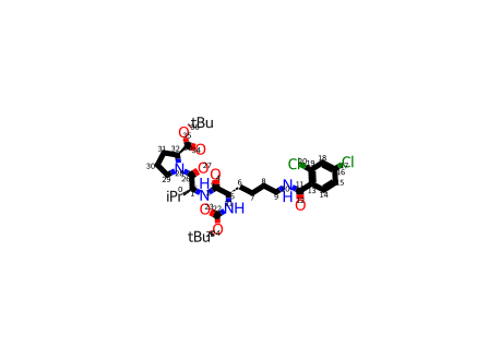 CC(C)[C@H](NC(=O)[C@H](CCCCNC(=O)c1ccc(Cl)cc1Cl)NC(=O)OC(C)(C)C)C(=O)N1CCC[C@H]1C(=O)OC(C)(C)C